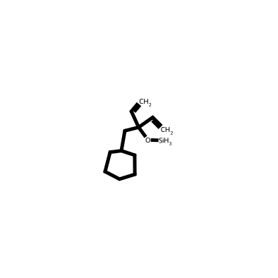 C=CC(C=C)(CC1CCCCC1)O[SiH3]